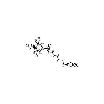 CCCCCCCCCCCCCCCCCC(=O)C1CC(C)(C)N(N)C(C)(C)C1